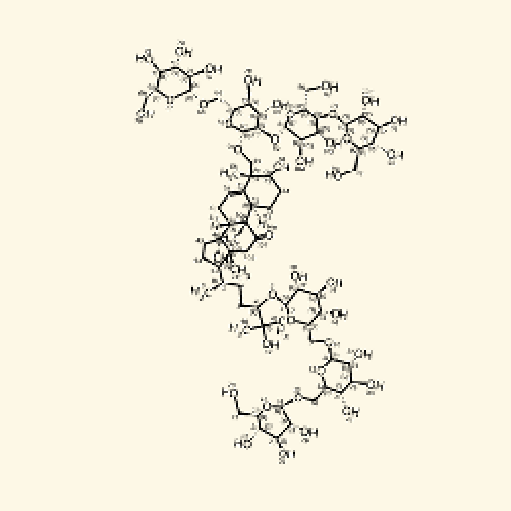 C[C@H](CC[C@@H](O[C@@H]1O[C@H](CO[C@@H]2O[C@H](CO[C@@H]3O[C@H](CO)[C@@H](O)[C@H](O)[C@H]3O)[C@@H](O)[C@H](O)[C@H]2O)[C@@H](O)[C@H](O)[C@H]1O)C(C)(C)O)[C@H]1CC[C@@]2(C)[C@@H]3CC=C4[C@@H](CC[C@H](O)[C@@]4(C)CO[C@@H]4O[C@H](CO[C@@H]5O[C@H](CO)[C@@H](O)[C@H](O)[C@H]5O)[C@@H](O)[C@H](O)[C@H]4O[C@@H]4O[C@H](CO)[C@@H](O[C@@H]5O[C@H](CO)[C@@H](O)[C@H](O)[C@H]5O)[C@H](O)[C@H]4O)[C@]3(C)C(=O)C[C@]12C